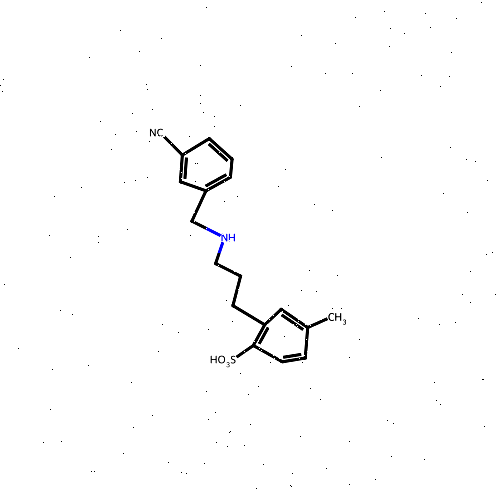 Cc1ccc(S(=O)(=O)O)c(CCCNCc2cccc(C#N)c2)c1